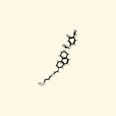 CCCCCCC[C@H]1CCc2c(ccc3c2CC[C@H](C(=O)Oc2ccc(C#N)c(F)c2)C3)C1